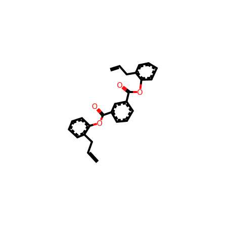 C=CCc1ccccc1OC(=O)c1cccc(C(=O)Oc2ccccc2CC=C)c1